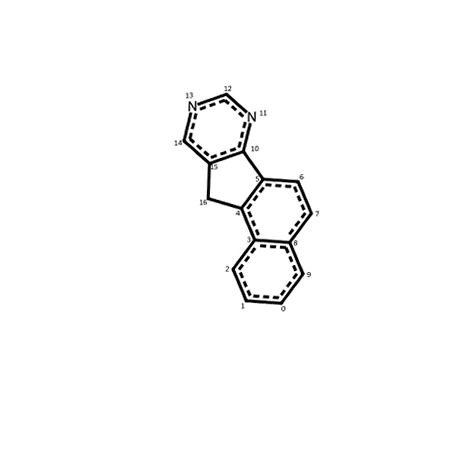 c1ccc2c3c(ccc2c1)-c1ncncc1C3